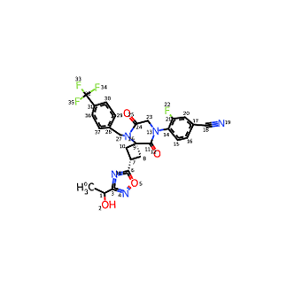 CC(O)c1noc([C@H]2C[C@@]3(C2)C(=O)N(c2ccc(C#N)cc2F)CC(=O)N3Cc2ccc(C(F)(F)F)cc2)n1